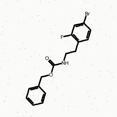 O=C(NCCc1ccc(Br)cc1F)OCc1ccccc1